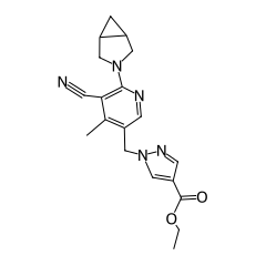 CCOC(=O)c1cnn(Cc2cnc(N3CC4CC4C3)c(C#N)c2C)c1